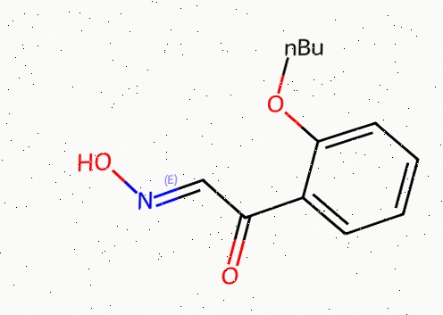 CCCCOc1ccccc1C(=O)/C=N/O